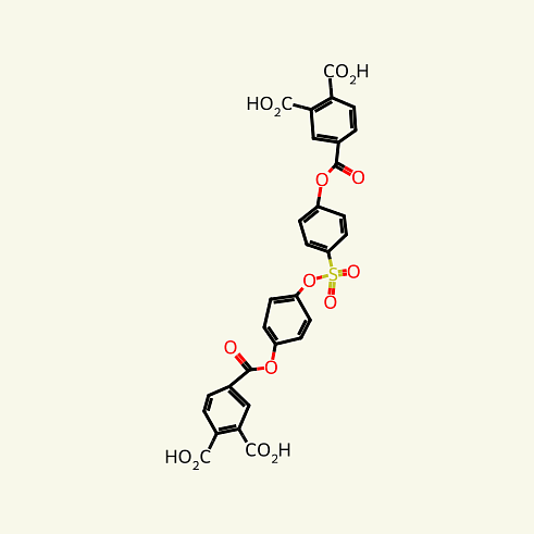 O=C(Oc1ccc(OS(=O)(=O)c2ccc(OC(=O)c3ccc(C(=O)O)c(C(=O)O)c3)cc2)cc1)c1ccc(C(=O)O)c(C(=O)O)c1